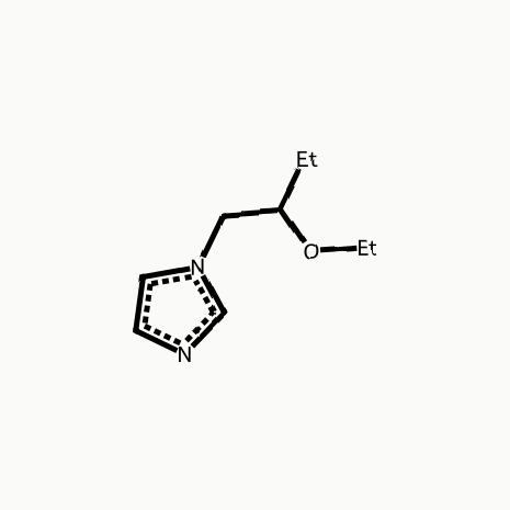 CCOC(CC)Cn1ccnc1